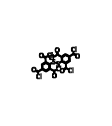 O=C(Cl)c1cc(C(=O)Cl)c(SSc2c(C(=O)Cl)cc(C(=O)Cl)cc2C(=O)Cl)c(C(=O)Cl)c1